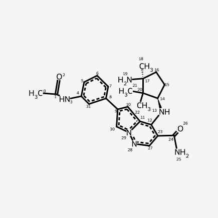 CC(=O)Nc1cccc(-c2cc3c(N[C@@H]4CC[C@](C)(N)C4(C)C)c(C(N)=O)cnn3c2)c1